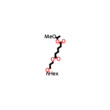 CCCCCCOCCCOC(=O)CCCCC(=O)OC(C)OC